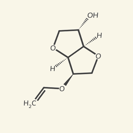 C=CO[C@@H]1CO[C@H]2[C@@H]1OC[C@@H]2O